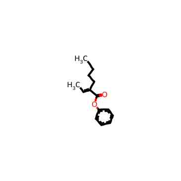 CC=C(CCCC)C(=O)Oc1ccccc1